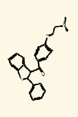 CN(C)CCOc1ccc(C(=O)C2c3ccccc3SC2c2ccccc2)cc1